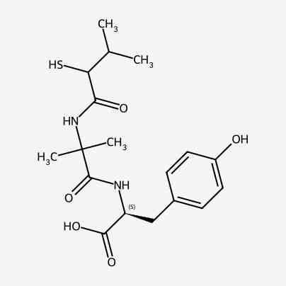 CC(C)C(S)C(=O)NC(C)(C)C(=O)N[C@@H](Cc1ccc(O)cc1)C(=O)O